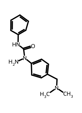 CN(C)Cc1ccc(N(N)C(=O)Nc2ccccc2)cc1